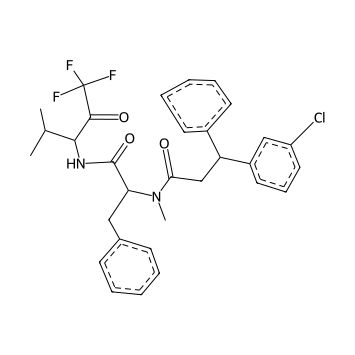 CC(C)C(NC(=O)C(Cc1ccccc1)N(C)C(=O)CC(c1ccccc1)c1cccc(Cl)c1)C(=O)C(F)(F)F